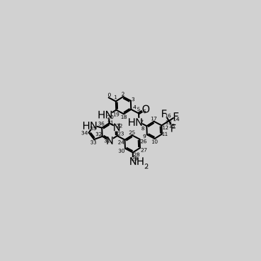 Cc1ccc(C(=O)Nc2cccc(C(F)(F)F)c2)cc1Nc1nc(-c2cccc(N)c2)nc2cc[nH]c12